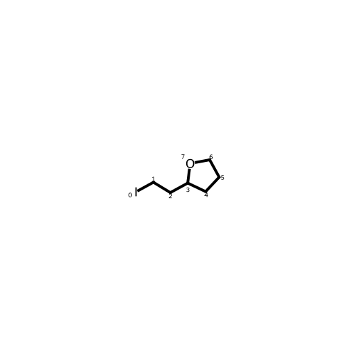 ICCC1CCCO1